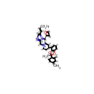 Cc1ccc([C@@]2(C)Oc3cccc(C4CCN(Cc5ncc(/C=C/C(=O)O)n5C[C@@H]5CCO5)CC4)c3O2)c(F)c1